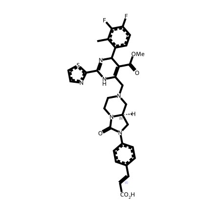 COC(=O)C1=C(CN2CCN3C(=O)N(c4ccc(/C=C/C(=O)O)cc4)C[C@@H]3C2)NC(c2nccs2)=NC1c1ccc(F)c(F)c1C